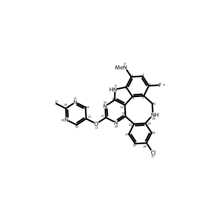 CNc1cc(F)c2c3c1[nH]c1nc(Oc4cnc(C)nc4)nc(c13)-c1ccc(Cl)cc1NC2